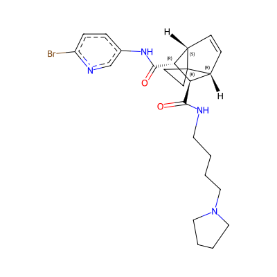 O=C(NCCCCN1CCCC1)[C@H]1[C@H](C(=O)Nc2ccc(Br)nc2)[C@@H]2C=C[C@H]1C21CC1